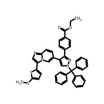 CCOC(=O)c1ccc(-c2nn(C(c3ccccc3)(c3ccccc3)c3ccccc3)cc2-c2ccc3ncc(-c4ccc(SC)s4)n3c2)cc1